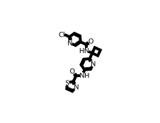 O=C(NC1(c2ccc(NC(=O)c3nccs3)cn2)CCC1)c1ccc(Cl)nc1